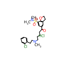 CN(CCCCC(=O)c1cc2c(c(S(=O)(=O)N(C)C)c1)OCC2)CCc1ccccc1Cl.Cl